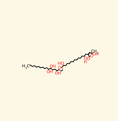 CCCCCCCCCCC(O)C(O)CC[C@H](O)[C@@H]1CC[C@@H]([C@@H](O)CCCCCCCCCCC(O)CC2=CC(C)(O)OC2=O)O1